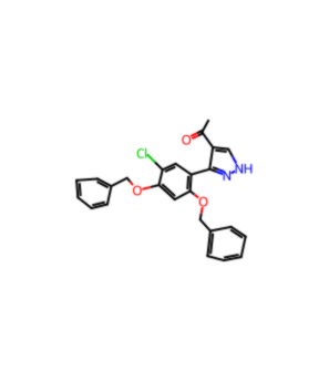 CC(=O)c1c[nH]nc1-c1cc(Cl)c(OCc2ccccc2)cc1OCc1ccccc1